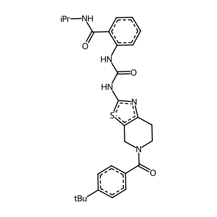 CC(C)NC(=O)c1ccccc1NC(=O)Nc1nc2c(s1)CN(C(=O)c1ccc(C(C)(C)C)cc1)CC2